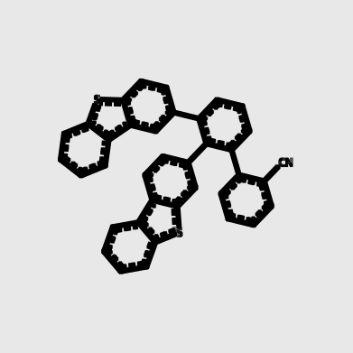 N#Cc1ccccc1-c1cccc(-c2ccc3sc4ccccc4c3c2)c1-c1ccc2c(c1)sc1ccccc12